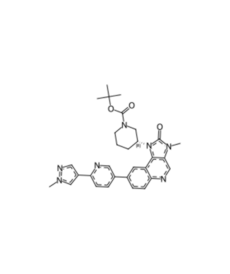 Cn1cc(-c2ccc(-c3ccc4ncc5c(c4c3)n([C@@H]3CCCN(C(=O)OC(C)(C)C)C3)c(=O)n5C)cn2)cn1